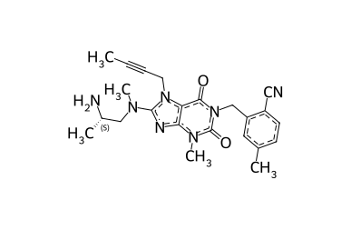 CC#CCn1c(N(C)C[C@H](C)N)nc2c1c(=O)n(Cc1cc(C)ccc1C#N)c(=O)n2C